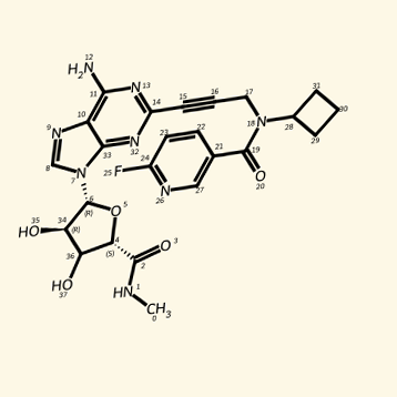 CNC(=O)[C@H]1O[C@@H](n2cnc3c(N)nc(C#CCN(C(=O)c4ccc(F)nc4)C4CCC4)nc32)[C@H](O)C1O